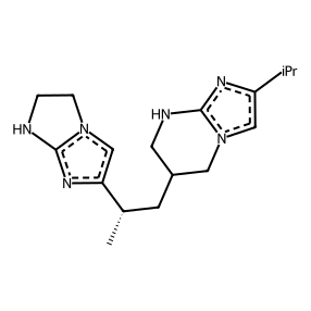 CC(C)c1cn2c(n1)NCC(C[C@H](C)c1cn3c(n1)NCC3)C2